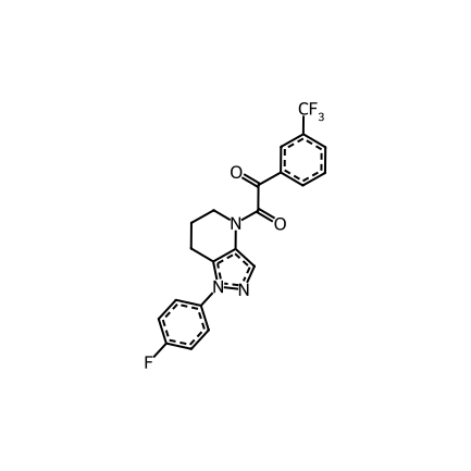 O=C(C(=O)N1CCCc2c1cnn2-c1ccc(F)cc1)c1cccc(C(F)(F)F)c1